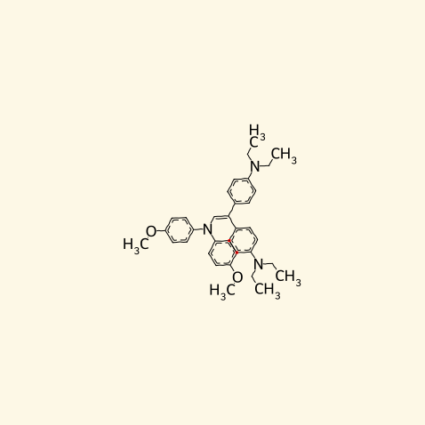 CCN(CC)c1ccc(C(=CN(c2ccc(OC)cc2)c2ccc(OC)cc2)c2ccc(N(CC)CC)cc2)cc1